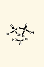 O=P(O)(O)OP(=O)(O)O.OBO